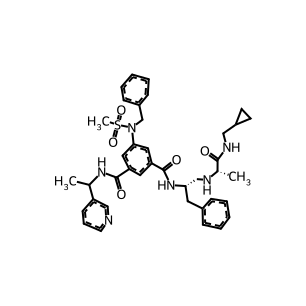 CC(NC(=O)c1cc(C(=O)N[C@H](CN[C@@H](C)C(=O)NCC2CC2)Cc2ccccc2)cc(N(Cc2ccccc2)S(C)(=O)=O)c1)c1cccnc1